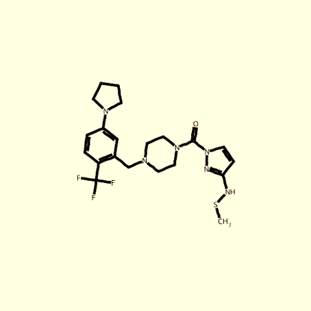 CSNc1ccn(C(=O)N2CCN(Cc3cc(N4CCCC4)ccc3C(F)(F)F)CC2)n1